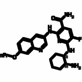 CCCOc1ccc2cc(Nc3nc(N[C@@H]4CCCC[C@@H]4N)c(F)cc3C(N)=O)cnc2c1